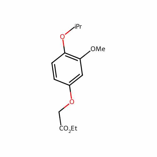 CCOC(=O)COc1ccc(OC(C)C)c(OC)c1